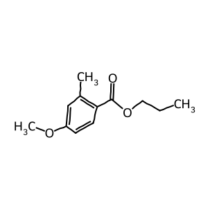 CCCOC(=O)c1ccc(OC)cc1C